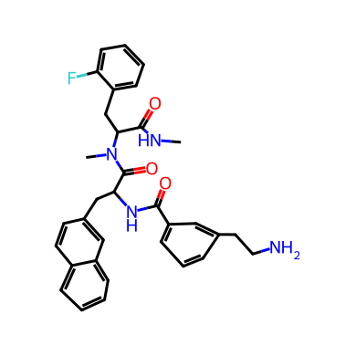 CNC(=O)C(Cc1ccccc1F)N(C)C(=O)C(Cc1ccc2ccccc2c1)NC(=O)c1cccc(CCN)c1